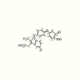 CC1=C(CC(=O)O)c2cc(F)ccc2/C1=C\c1ccc(Oc2ccc(O)c(Cl)c2)cc1